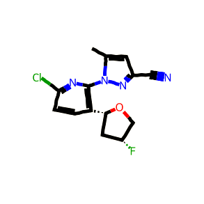 Cc1cc(C#N)nn1-c1nc(Cl)ccc1[C@H]1C[C@@H](F)CO1